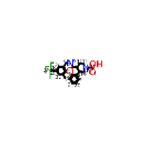 Cc1cc(CN(C)C(=O)C2CCN(C(=O)O)CC2c2ccccc2)cc(C(F)(F)F)c1